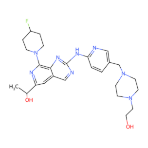 CC(O)c1cc2cnc(Nc3ccc(CN4CCN(CCO)CC4)cn3)nc2c(N2CCC(F)CC2)n1